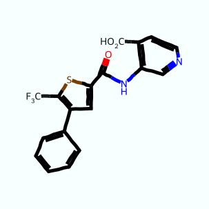 O=C(Nc1cnccc1C(=O)O)c1cc(-c2ccccc2)c(C(F)(F)F)s1